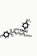 CCCCCCN(SSSN(CCCCCC)S(=O)(=O)c1ccc(C)cc1)S(=O)(=O)c1ccc(C)cc1